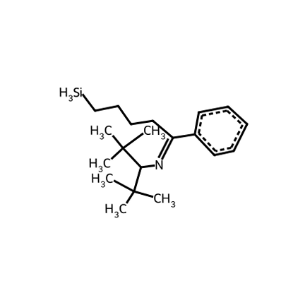 CC(C)(C)C(N=C(CCCC[SiH3])c1ccccc1)C(C)(C)C